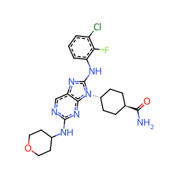 NC(=O)[C@H]1CC[C@H](n2c(Nc3cccc(Cl)c3F)nc3cnc(NC4CCOCC4)nc32)CC1